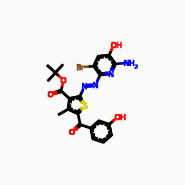 Cc1c(C(=O)c2cccc(O)c2)sc(N=Nc2nc(N)c(O)cc2Br)c1C(=O)OC(C)(C)C